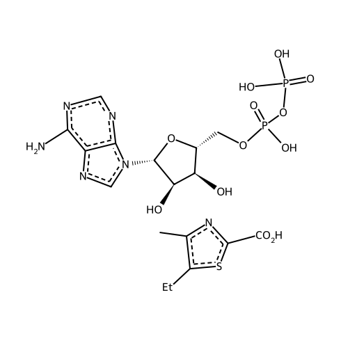 CCc1sc(C(=O)O)nc1C.Nc1ncnc2c1ncn2[C@@H]1O[C@H](COP(=O)(O)OP(=O)(O)O)[C@@H](O)[C@H]1O